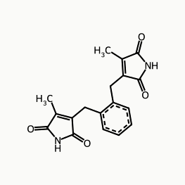 CC1=C(Cc2ccccc2CC2=C(C)C(=O)NC2=O)C(=O)NC1=O